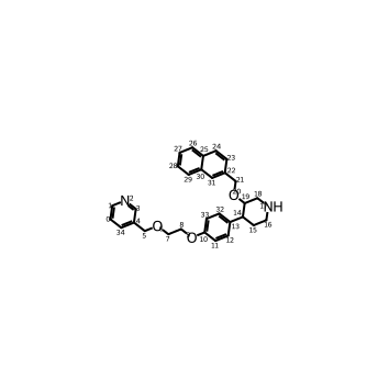 c1cncc(COCCOc2ccc(C3CCNCC3OCc3ccc4ccccc4c3)cc2)c1